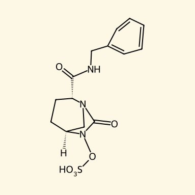 O=C(NCc1ccccc1)[C@H]1CC[C@H]2CN1C(=O)N2OS(=O)(=O)O